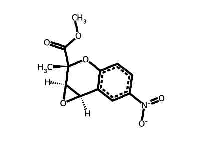 COC(=O)[C@]1(C)Oc2ccc([N+](=O)[O-])cc2[C@H]2O[C@H]21